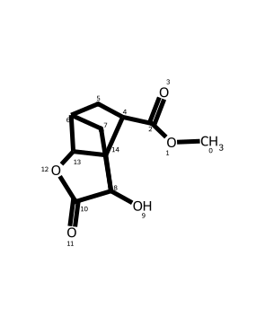 COC(=O)C1CC2CC3(O)C(=O)OC2C13